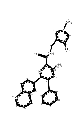 Cc1cn(C)nc1CNC(=O)c1nc(-c2ccc3ncccc3c2)c(-c2ccccc2)nc1N